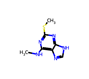 CNc1nc(SC)nc2[nH]cnc12